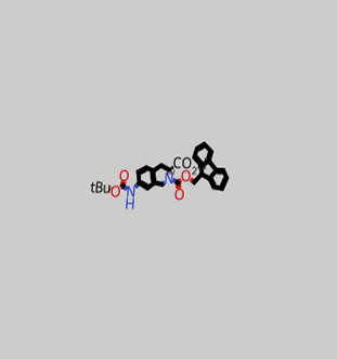 CC(C)(C)OC(=O)Nc1ccc2c(c1)CN(C(=O)OCC1c3ccccc3-c3ccccc31)[C@H](C(=O)O)C2